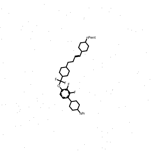 CCCCCC1CCC(/C=C/CCC2CCC(C(F)(F)Oc3ccc(C4CCC(CCC)CC4)c(F)c3F)CC2)CC1